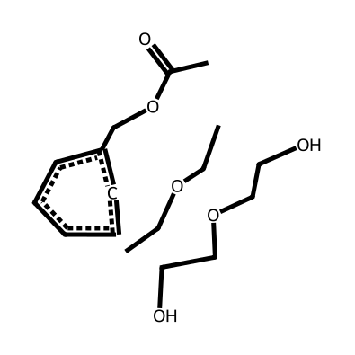 CC(=O)OCc1ccccc1.CCOCC.OCCOCCO